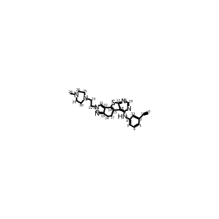 C#Cc1cccc(Nc2ncnc3sc4c(c23)CCc2nn(CCN3CCN(C)CC3)cc2-4)c1